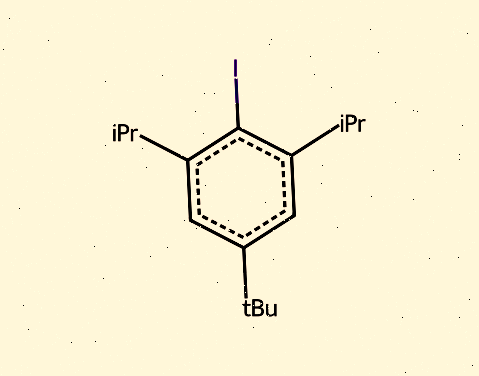 CC(C)c1cc(C(C)(C)C)cc(C(C)C)c1I